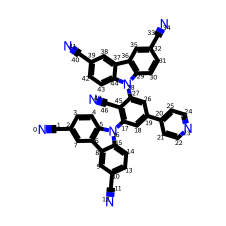 N#Cc1ccc2c(c1)c1cc(C#N)ccc1n2-c1cc(-c2ccncc2)cc(-n2c3ccc(C#N)cc3c3cc(C#N)ccc32)c1C#N